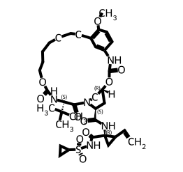 C=CC1C[C@]1(NC(=O)[C@@H]1C[C@@H]2CN1C(=O)[C@H](C(C)(C)C)NC(=O)OCCCCCCCc1cc(ccc1OC)NC(=O)O2)C(=O)NS(=O)(=O)C1CC1